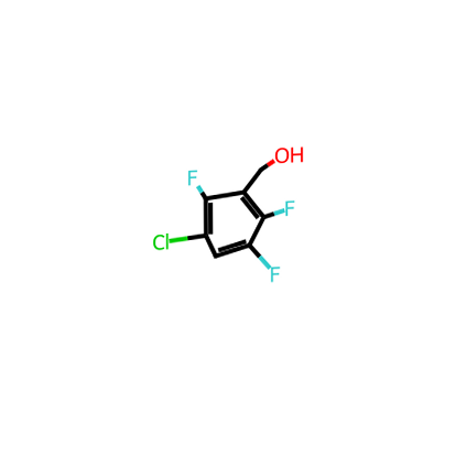 OCc1c(F)c(F)cc(Cl)c1F